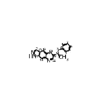 CN(Cc1ccccc1)c1cnc2cc3[nH]ncc3cc2n1